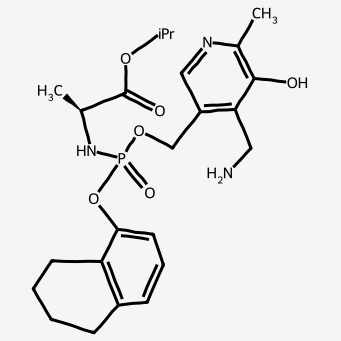 Cc1ncc(COP(=O)(N[C@@H](C)C(=O)OC(C)C)Oc2cccc3c2CCCC3)c(CN)c1O